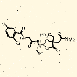 CNC(=O)CC1(CC(=O)O)OB([C@H](CC(C)C)NC(=O)CNC(=O)c2cc(Cl)ccc2Cl)OC1=O